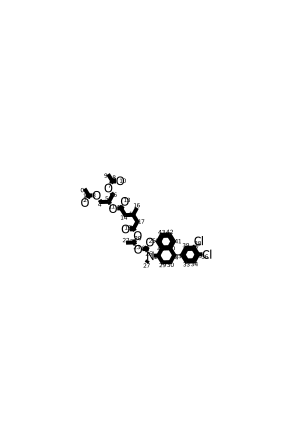 CC(=O)OCC(COC(C)=O)OC(=O)CC(C)CC(=O)OC(C)OC(=O)N(C)C1CC[C@@H](c2ccc(Cl)c(Cl)c2)c2ccccc21